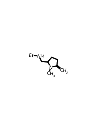 C=C1CCC(CNCC)N1C